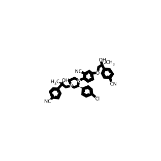 C[C@@](O)(COc1ccc(N2CCN(C[C@@](C)(O)c3ccc(C#N)cc3)C[C@H]2c2ccc(Cl)cc2)c(C#N)c1)c1ccc(C#N)cc1